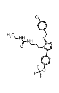 CCNC(=O)NCCCn1c(-c2ccc(OC(F)(F)F)cc2)cs/c1=N\Cc1ccc(Cl)cc1